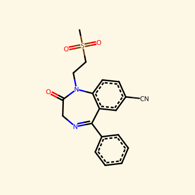 CS(=O)(=O)CCN1C(=O)CN=C(c2ccccc2)c2cc(C#N)ccc21